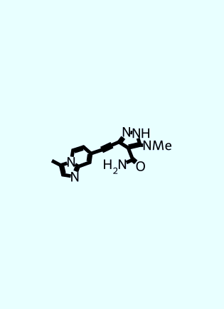 CNc1[nH]nc(C#Cc2ccn3c(C)cnc3c2)c1C(N)=O